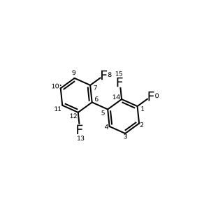 Fc1cccc(-c2c(F)c[c]cc2F)c1F